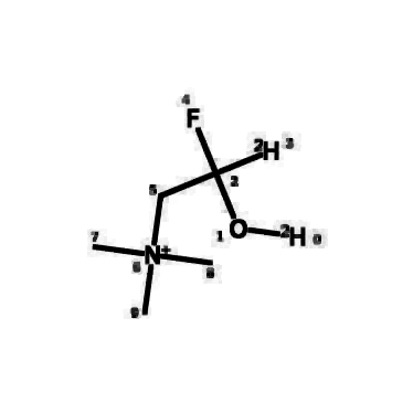 [2H]OC([2H])(F)C[N+](C)(C)C